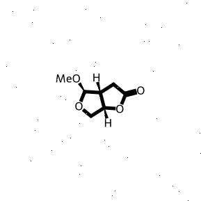 CO[C@@H]1OC[C@H]2OC(=O)C[C@@H]12